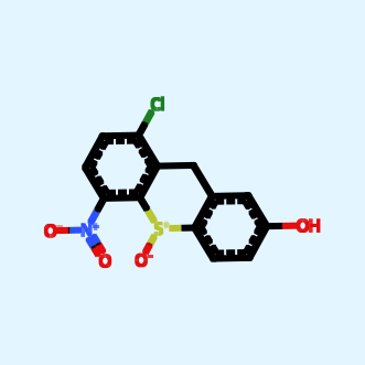 O=[N+]([O-])c1ccc(Cl)c2c1[S+]([O-])c1ccc(O)cc1C2